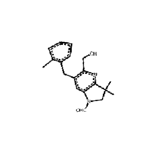 Cc1ccccc1Cc1cc2c(nc1CO)C(C)(C)CN2C=O